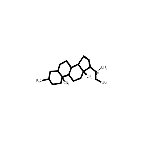 C[C@H](CC(C)(C)C)C1CCC2C3CCC4CC(C(F)(F)F)CCC4(C)C3CCC21C